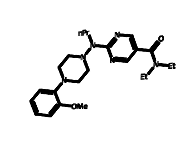 CCCN(c1ncc(C(=O)N(CC)CC)cn1)N1CCN(c2ccccc2OC)CC1